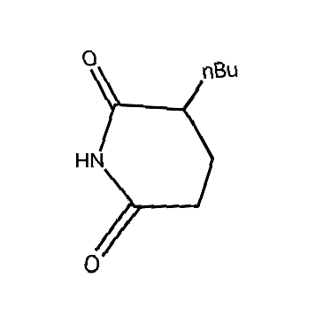 CCCCC1CCC(=O)NC1=O